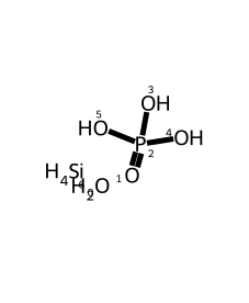 O.O=P(O)(O)O.[SiH4]